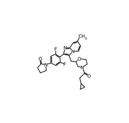 Cc1ccn2c(CC3CN(C(=O)CC4CC4)CCO3)c(-c3c(F)cc(N4CCCC4=O)cc3F)nc2c1